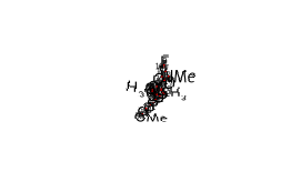 CNC(=O)c1c(-c2ccc(F)cc2)oc2cc3c(cc12)[C@H](C)OC(OC(=O)COCCOCCOCCOC)CN3S(C)(=O)=O